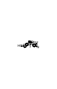 N#Cc1ccc(N2C(=O)C3(CCC3)N(c3ccc4c(c3)CC[C@H](CO)O4)C2=S)c(F)c1C(F)(F)F